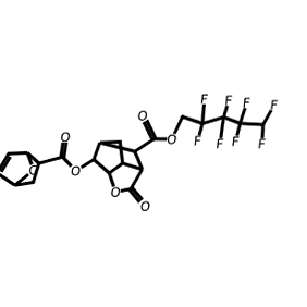 O=C(OC1C2CC3C1OC(=O)C3C2C(=O)OCC(F)(F)C(F)(F)C(F)(F)C(F)F)C1CC2C=CC1O2